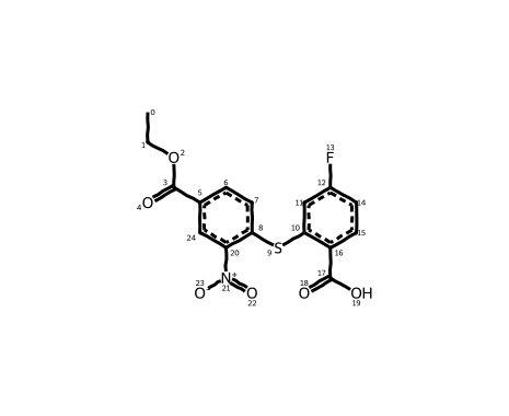 CCOC(=O)c1ccc(Sc2cc(F)ccc2C(=O)O)c([N+](=O)[O-])c1